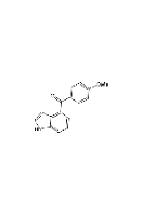 COc1ccc(C(=O)c2cccc3[nH]ccc23)cc1